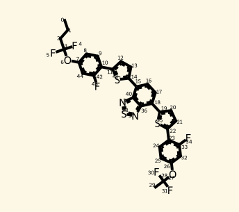 CCCC(F)(F)Oc1ccc(-c2ccc(-c3ccc(-c4ccc(-c5ccc(OC(C)(F)F)cc5F)s4)c4nsnc34)s2)c(F)c1